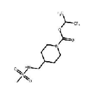 CS(=O)(=O)NCC1CCN(C(=O)OC(C(F)(F)F)C(F)(F)F)CC1